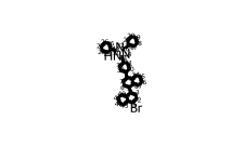 Brc1ccc(-c2ccc(-c3ccc(C4=NC(c5ccccc5)=NC(c5ccccc5)N4)cc3)c3ccccc23)c2ccccc12